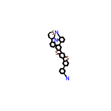 N#Cc1cccc(-c2ccc3sc4cc5c(cc4c3c2)sc2ccc(-c3cccc(C#N)c3-n3c4c(c6ccccc63)C=CCSC4)cc25)c1